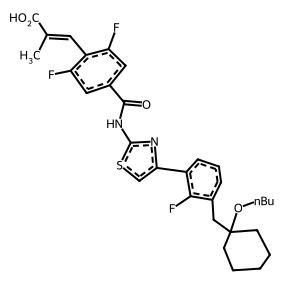 CCCCOC1(Cc2cccc(-c3csc(NC(=O)c4cc(F)c(C=C(C)C(=O)O)c(F)c4)n3)c2F)CCCCC1